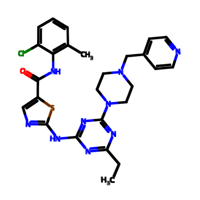 CCc1nc(Nc2ncc(C(=O)Nc3c(C)cccc3Cl)s2)nc(N2CCN(Cc3ccncc3)CC2)n1